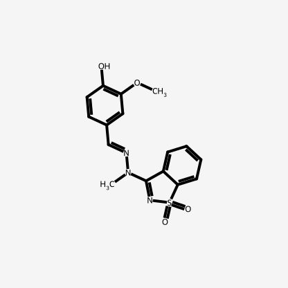 COc1cc(/C=N/N(C)C2=NS(=O)(=O)c3ccccc32)ccc1O